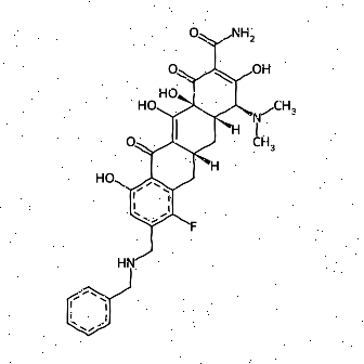 CN(C)[C@@H]1C(O)=C(C(N)=O)C(=O)[C@@]2(O)C(O)=C3C(=O)c4c(O)cc(CNCc5ccccc5)c(F)c4C[C@H]3C[C@@H]12